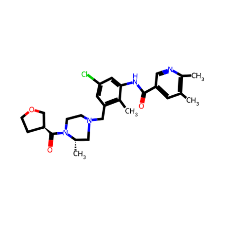 Cc1cc(C(=O)Nc2cc(Cl)cc(CN3CCN(C(=O)[C@H]4CCOC4)[C@@H](C)C3)c2C)cnc1C